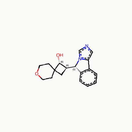 O[C@@H]1[C@@H]([C@H]2c3ccccc3-c3cncn32)CC12CCOCC2